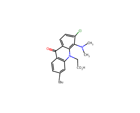 CN(C)c1c(Cl)ccc2c(=O)c3ccc(C(C)(C)C)cc3n(CC(=O)O)c12